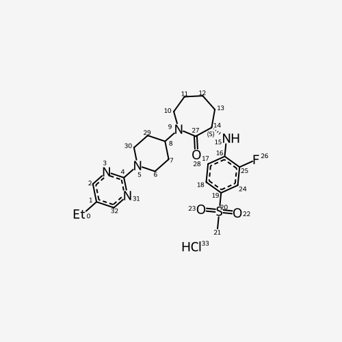 CCc1cnc(N2CCC(N3CCCC[C@H](Nc4ccc(S(C)(=O)=O)cc4F)C3=O)CC2)nc1.Cl